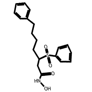 O=C(CC(CCCCc1ccccc1)S(=O)(=O)c1ccccc1)NO